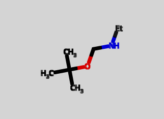 CCNCOC(C)(C)C